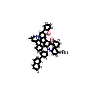 Cc1cnc2c(c1)-c1ccccc1C21c2ccc3c(oc4ccccc43)c2-c2c1cc(N(c1ccc(-c3ccc4ccccc4c3)cc1)c1ccc(C(C)(C)C)cc1)c1c2oc2ccccc21